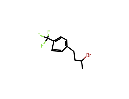 CC(Br)CCc1ccc(C(F)(F)F)cc1